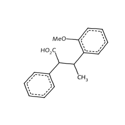 COc1ccccc1C(C)C(C(=O)O)c1ccccc1